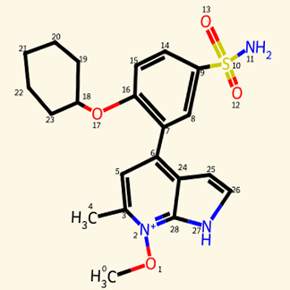 CO[n+]1c(C)cc(-c2cc(S(N)(=O)=O)ccc2OC2CCCCC2)c2cc[nH]c21